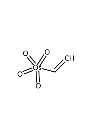 [CH]=[CH][Os](=[O])(=[O])(=[O])=[O]